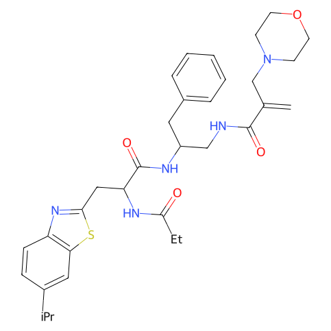 C=C(CN1CCOCC1)C(=O)NCC(Cc1ccccc1)NC(=O)C(Cc1nc2ccc(C(C)C)cc2s1)NC(=O)CC